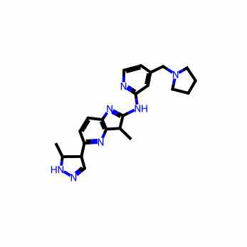 CC1C(Nc2cc(CN3CCCC3)ccn2)=Nc2ccc(C3C=NNC3C)nc21